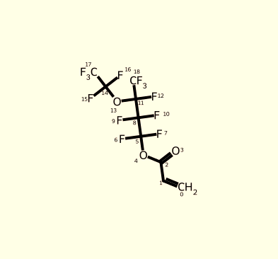 C=CC(=O)OC(F)(F)C(F)(F)C(F)(OC(F)(F)C(F)(F)F)C(F)(F)F